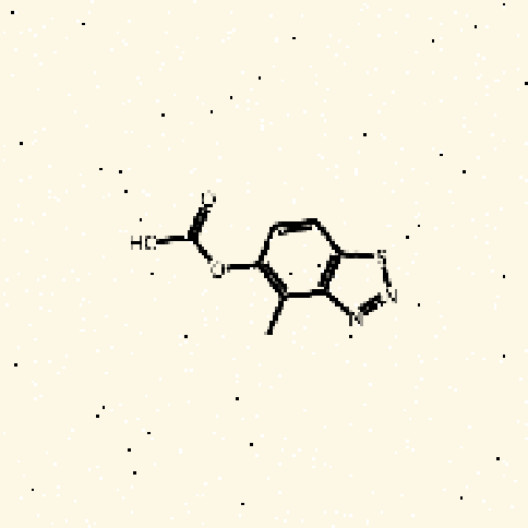 Cc1c(OC(=O)O)ccc2snnc12